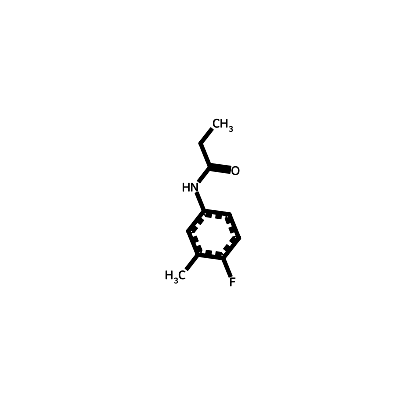 CCC(=O)Nc1ccc(F)c(C)c1